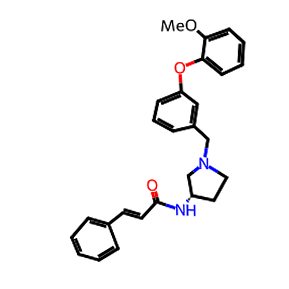 COc1ccccc1Oc1cccc(CN2CC[C@H](NC(=O)C=Cc3ccccc3)C2)c1